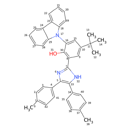 Cc1ccc(-c2nc(-c3cc(C(C)(C)C)cc(-n4c5ccccc5c5ccccc54)c3O)[nH]c2-c2ccc(C)cc2)cc1